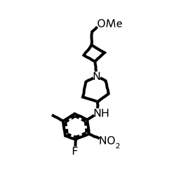 COCC1CC(N2CCC(Nc3cc(C)cc(F)c3[N+](=O)[O-])CC2)C1